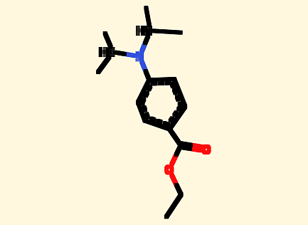 CCOC(=O)c1ccc(N([SiH](C)C)[SiH](C)C)cc1